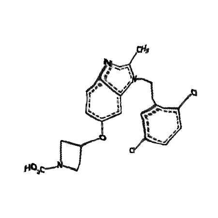 Cc1nc2ccc(OC3CN(C(=O)O)C3)cc2n1Cc1cc(Cl)ccc1Cl